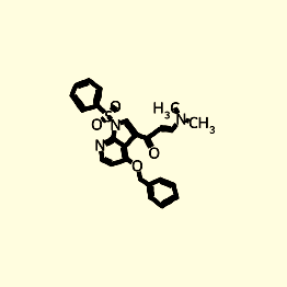 CN(C)C=CC(=O)c1cn(S(=O)(=O)c2ccccc2)c2nccc(OCc3ccccc3)c12